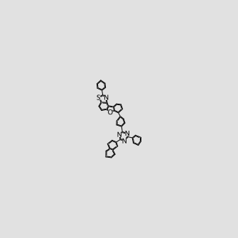 c1ccc(-c2nc(-c3ccc(-c4cccc5c4oc4ccc6sc(-c7ccccc7)nc6c45)cc3)nc(-c3ccc4ccccc4c3)n2)cc1